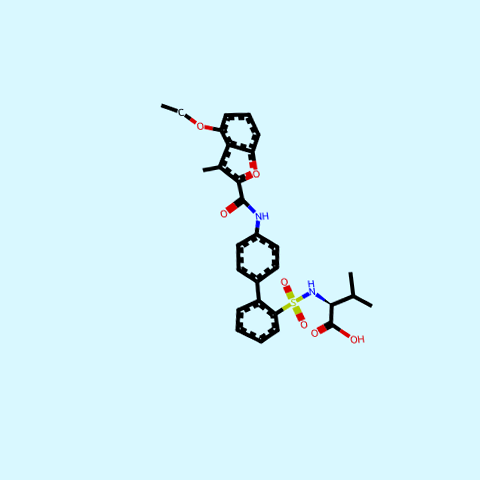 CCOc1cccc2oc(C(=O)Nc3ccc(-c4ccccc4S(=O)(=O)N[C@H](C(=O)O)C(C)C)cc3)c(C)c12